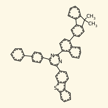 CC1(C)c2ccccc2-c2cc(-c3ccc(-c4nc(-c5ccc(-c6ccccc6)cc5)cc(-c5ccc6c(c5)sc5ccccc56)n4)c4ccccc34)ccc21